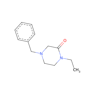 CCN1CCN(Cc2ccccc2)CC1=O